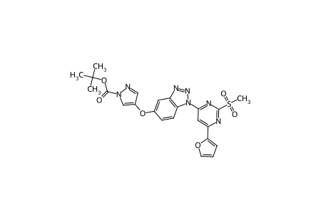 CC(C)(C)OC(=O)n1cc(Oc2ccc3c(c2)nnn3-c2cc(-c3ccco3)nc(S(C)(=O)=O)n2)cn1